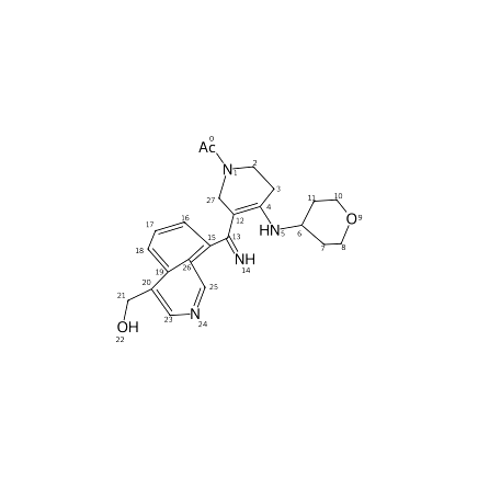 CC(=O)N1CCC(NC2CCOCC2)=C(C(=N)c2cccc3c(CO)cncc23)C1